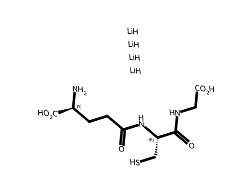 N[C@@H](CCC(=O)N[C@@H](CS)C(=O)NCC(=O)O)C(=O)O.[LiH].[LiH].[LiH].[LiH]